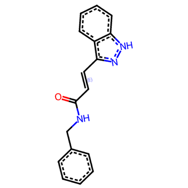 O=C(/C=C/c1n[nH]c2ccccc12)NCc1ccccc1